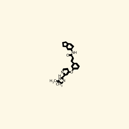 CC1(C)CN=C(c2cc(Oc3cccc(C=CC(=O)Nc4ccc5c(c4)CCC5)c3)ccn2)N1